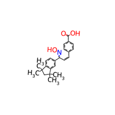 CC1(C)CC(C)(C)c2cc(C(/C=C\c3ccc(C(=O)O)cc3)=NO)ccc21